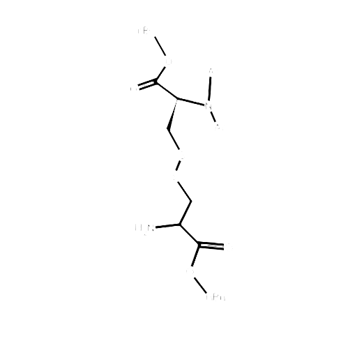 CCCCOC(=O)C(N)CSSC[C@@H](C(=O)OCCCC)N(C(C)=O)C(C)=O